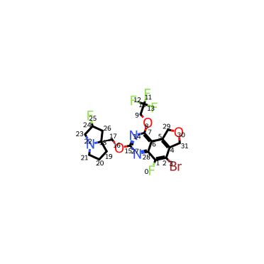 Fc1c(Br)c2c(c3c(OCC(F)(F)F)nc(OC[C@@]45CCCN4CC(F)C5)nc13)COC2